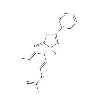 CC=CC(C=COC(C)=O)C1(C)N=C(c2ccccc2)OC1=O